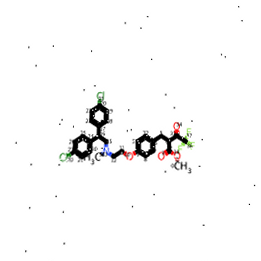 COC(=O)C(Cc1ccc(OCCN(C)CC(c2ccc(Cl)cc2)c2ccc(Cl)cc2)cc1)C(=O)C(F)(F)F